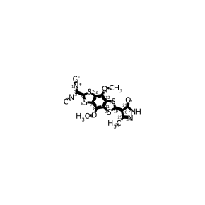 [C-]#[N+]C([N+]#[C-])=C1Sc2c(OC)c3c(c(OC)c2S1)SC(=C1C(=O)NN=C1C)S3